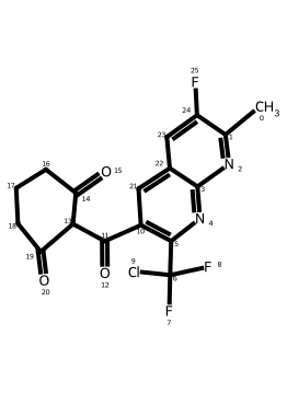 Cc1nc2nc(C(F)(F)Cl)c(C(=O)C3C(=O)CCCC3=O)cc2cc1F